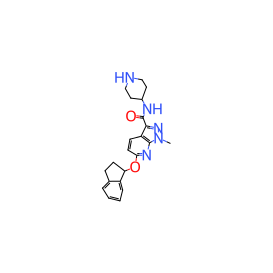 Cn1nc(C(=O)NC2CCNCC2)c2ccc(OC3CCc4ccccc43)nc21